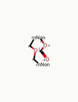 CCCCCCCCCCOCCCCCCCCCC.COC=O